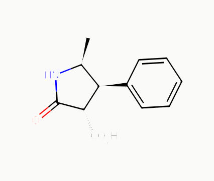 C[C@@H]1NC(=O)[C@@H](C(=O)O)[C@@H]1c1ccccc1